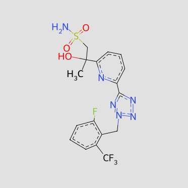 CC(O)(CS(N)(=O)=O)c1cccc(-c2nnn(Cc3c(F)cccc3C(F)(F)F)n2)n1